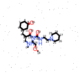 CNC[C@@H](C[C@H]1CCCC(=O)C1)C(=O)N(CCOC)C(=O)NCCN1CCCCC1